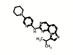 CC(C)c1cnc2ccc3cnc(Nc4ccc(N5CCCCC5)cn4)nc3n12